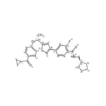 C[C@@H](Oc1ccc(C(=O)C2CC2)nc1)c1cc(-c2ccc(C(=O)NC[C@H]3CCCO3)c(F)c2)ns1